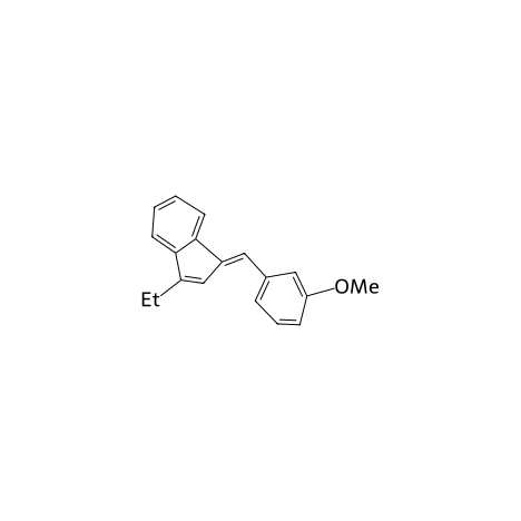 [CH2]CC1=CC(=Cc2cccc(OC)c2)c2ccccc21